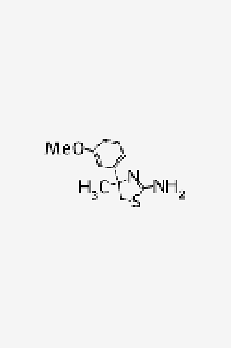 COc1cccc(C2(C)CSC(N)=N2)c1